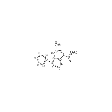 CC(=O)OC(C)Cc1cccc(-c2ccccc2)c1CC(C)OC(C)=O